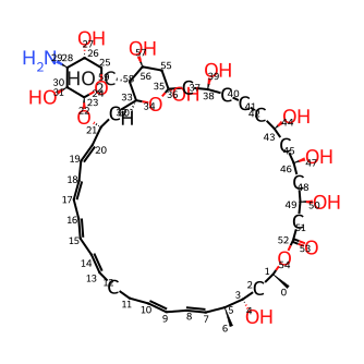 C[C@H]1C[C@H](O)[C@@H](C)/C=C/C=C/CC/C=C/C=C/C=C/C=C/[C@H](O[C@@H]2OC[C@@H](O)[C@H](N)[C@@H]2O)C[C@@H]2O[C@](O)(C[C@@H](O)CCC[C@@H](O)C[C@@H](O)C[C@@H](O)CC(=O)O1)C[C@H](O)[C@H]2C(=O)O